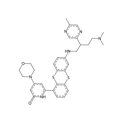 Cc1cnc(C(CCN(C)C)CNc2ccc3c(c2)Sc2cccc(-c4cc(N5CCOCC5)cc(=O)[nH]4)c2S3)cn1